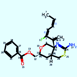 C=C(/C(F)=C\C=C/C)[C@]12CO[C@@H](COC(=O)c3ccccc3)C[C@H]1CSC(N)=N2